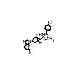 CC[C@@H](NC(=O)c1ccc(Cl)cc1)[C@H]1[C@@H]2C[C@@H](n3cnc4ccc(F)cc43)C[C@@H]21